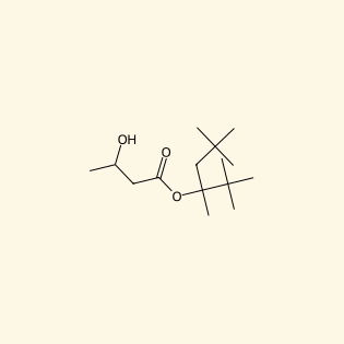 CC(O)CC(=O)OC(C)(CC(C)(C)C)C(C)(C)C